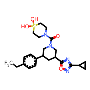 O=C(N1CCS(O)(O)CC1)N1CC(c2ccc(CC(F)(F)F)cc2)CC(c2nc(C3CC3)no2)C1